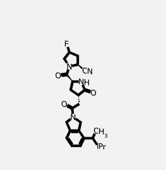 CC(C)C(C)c1cccc2c1CN(C(=O)C[C@@H]1C[C@@H](C(=O)N3CC(F)C[C@H]3C#N)NC1=O)C2